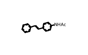 CC(=O)Nc1ccc(/C=C/c2ccccc2)cc1